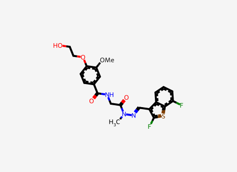 COc1cc(C(=O)NCC(=O)N(C)/N=C/c2c(F)sc3c(F)cccc23)ccc1OCCO